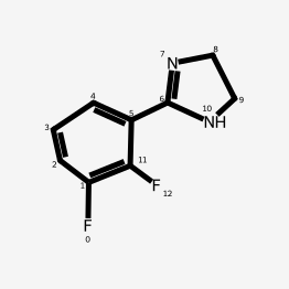 Fc1cccc(C2=NCCN2)c1F